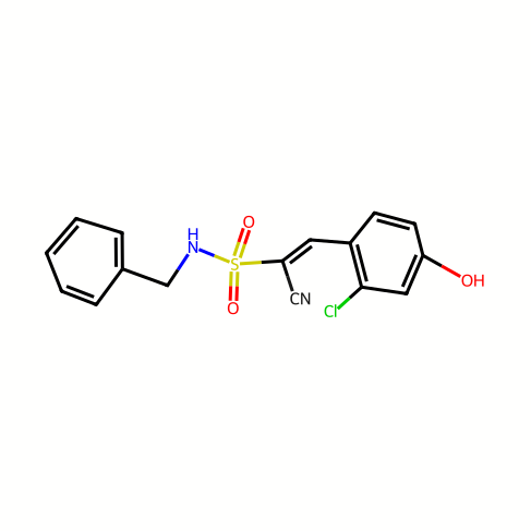 N#CC(=Cc1ccc(O)cc1Cl)S(=O)(=O)NCc1ccccc1